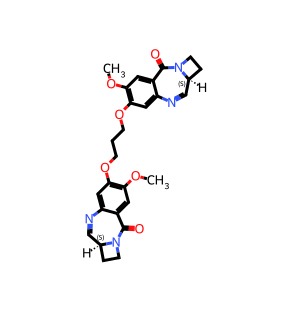 COc1cc2c(cc1OCCCOc1cc3c(cc1OC)C(=O)N1CC[C@H]1C=N3)N=C[C@@H]1CCN1C2=O